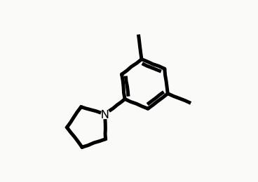 Cc1cc(C)cc(N2CCCC2)c1